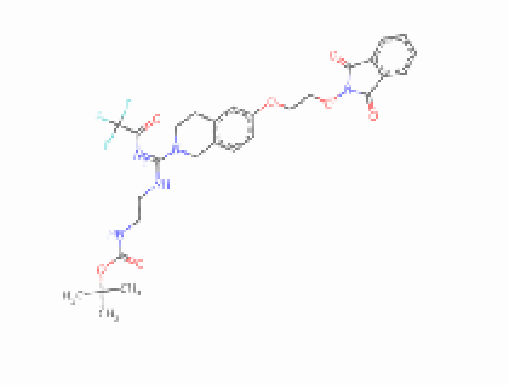 CC(C)(C)OC(=O)NCCN/C(=N/C(=O)C(F)(F)F)N1CCc2cc(OCCON3C(=O)c4ccccc4C3=O)ccc2C1